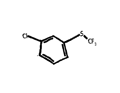 FC(F)(F)Sc1cc[c]c(Cl)c1